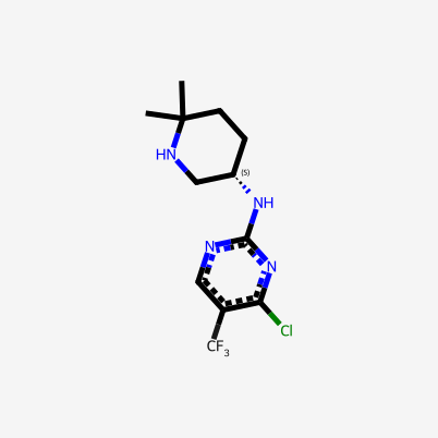 CC1(C)CC[C@H](Nc2ncc(C(F)(F)F)c(Cl)n2)CN1